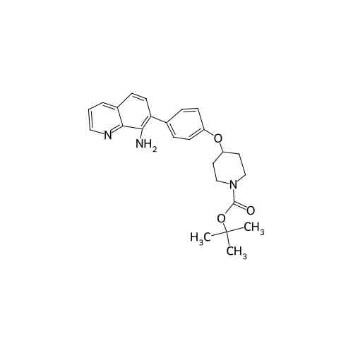 CC(C)(C)OC(=O)N1CCC(Oc2ccc(-c3ccc4cccnc4c3N)cc2)CC1